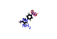 Nc1cn(-c2ccc([N+](=O)[O-])cc2)nc1I